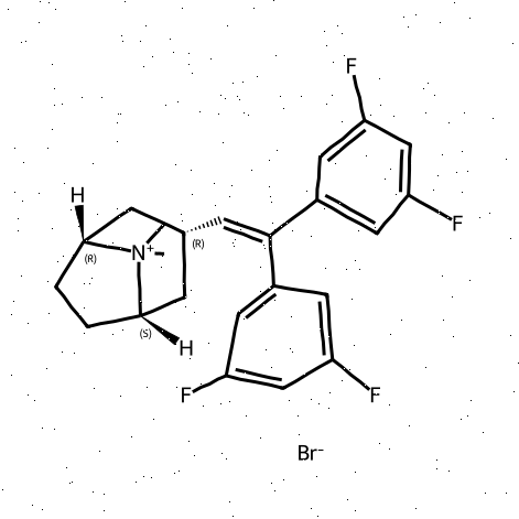 C[N+]1(C)[C@@H]2CC[C@H]1C[C@@H](C=C(c1cc(F)cc(F)c1)c1cc(F)cc(F)c1)C2.[Br-]